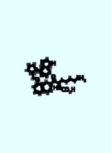 NCCCCC(NC(=O)O)C(=O)N1CCc2cccc(OC[C@H]3CCCN3c3ncnc4[nH]cnc34)c2C1